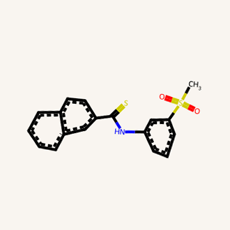 CS(=O)(=O)c1cccc(NC(=S)c2ccc3ccccc3c2)c1